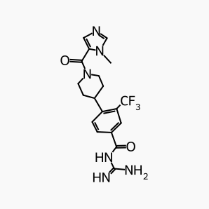 Cn1cncc1C(=O)N1CCC(c2ccc(C(=O)NC(=N)N)cc2C(F)(F)F)CC1